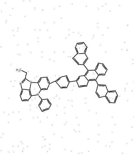 CCc1nc2cccc3c2n1-c1ccc(-c2ccc(-c4ccc5c(-c6ccc7ccccc7c6)c6ccccc6c(-c6ccc7ccccc7c6)c5c4)cc2)cc1N3c1ccccc1